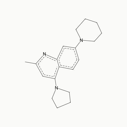 Cc1cc(N2CCCC2)c2ccc(N3CCCCC3)cc2n1